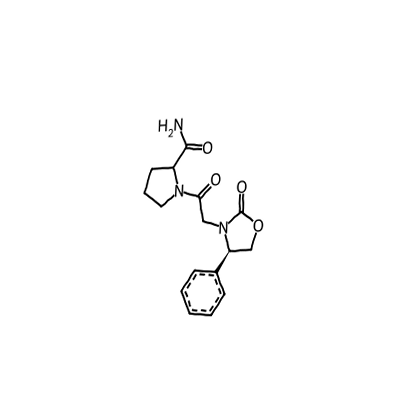 NC(=O)C1CCCN1C(=O)CN1C(=O)OC[C@H]1c1ccccc1